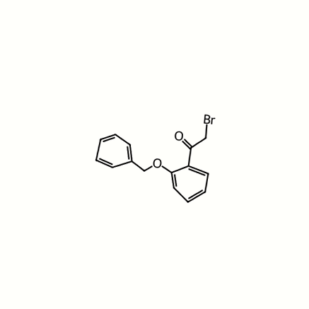 O=C(CBr)c1ccccc1OCc1ccccc1